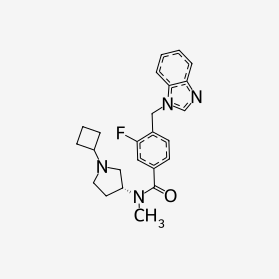 CN(C(=O)c1ccc(Cn2cnc3ccccc32)c(F)c1)[C@@H]1CCN(C2CCC2)C1